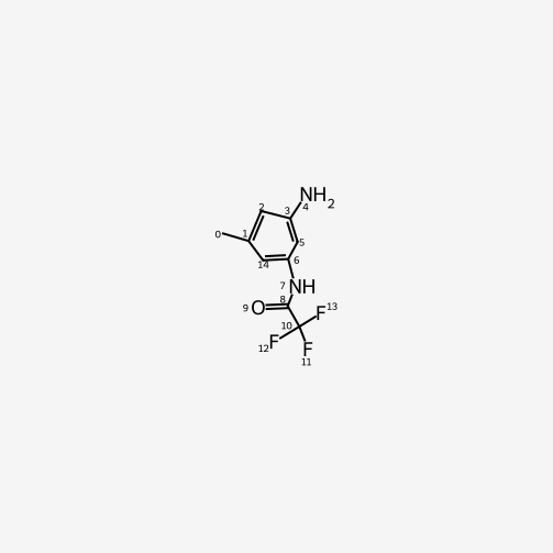 Cc1cc(N)cc(NC(=O)C(F)(F)F)c1